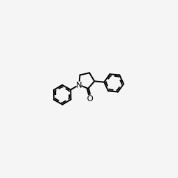 O=C1C(c2ccccc2)CCN1c1ccccc1